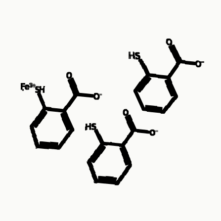 O=C([O-])c1ccccc1S.O=C([O-])c1ccccc1S.O=C([O-])c1ccccc1S.[Fe+3]